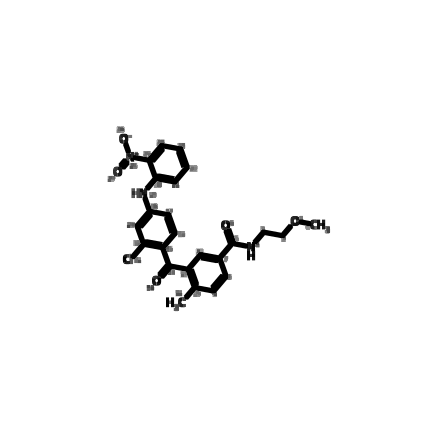 COCCNC(=O)c1ccc(C)c(C(=O)c2ccc(Nc3ccccc3[N+](=O)[O-])cc2Cl)c1